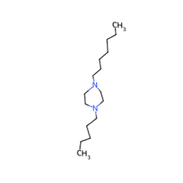 CCCCCCCN1CCN(CCCCC)CC1